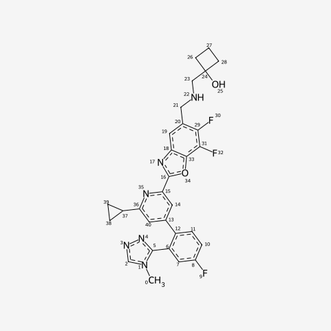 Cn1cnnc1-c1cc(F)ccc1-c1cc(-c2nc3cc(CNCC4(O)CCC4)c(F)c(F)c3o2)nc(C2CC2)c1